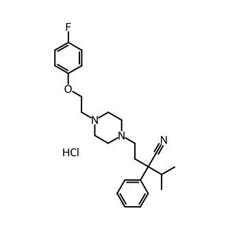 CC(C)C(C#N)(CCN1CCN(CCOc2ccc(F)cc2)CC1)c1ccccc1.Cl